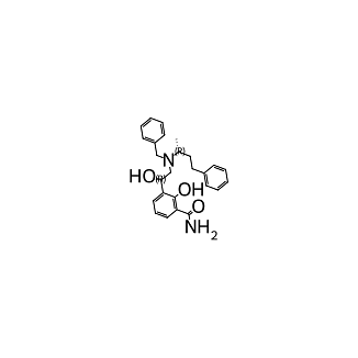 C[C@H](CCc1ccccc1)N(Cc1ccccc1)C[C@H](O)c1cccc(C(N)=O)c1O